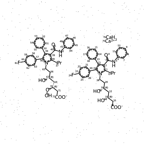 CC(C)c1c(C(=O)Nc2ccccc2)c(-c2ccccc2)c(-c2ccc(F)cc2)n1CC[C@@H](O)C[C@@H](O)CC(=O)[O-].CC(C)c1c(C(=O)Nc2ccccc2)c(-c2ccccc2)c(-c2ccc(F)cc2)n1CC[C@@H](O)C[C@H](CC(=O)[O-])OO.[Ca+2].[CaH2]